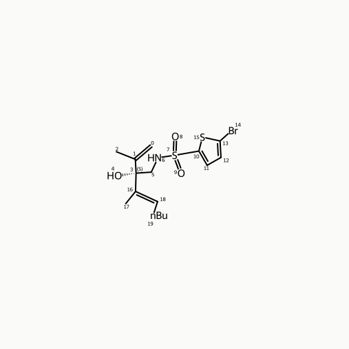 C=C(C)[C@@](O)(CNS(=O)(=O)c1ccc(Br)s1)C(C)=CCCCC